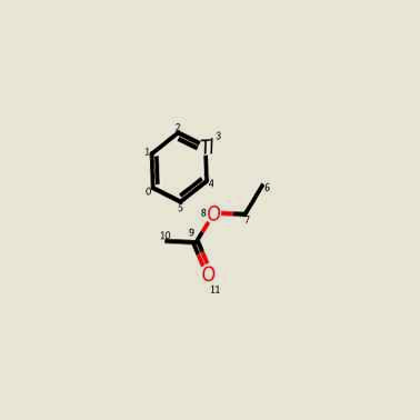 C1=C[CH]=[Tl][CH]=C1.CCOC(C)=O